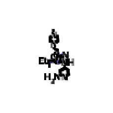 CC/C(C)=C(Cl)/C=C(Nc1ccnc(N)c1)\C(=N/C)OCCN1CCN(C)CC1